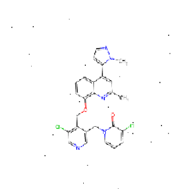 Cc1cc(-c2ccnn2C)c2cccc(OCc3c(Cl)cncc3Cn3cccc(Cl)c3=O)c2n1